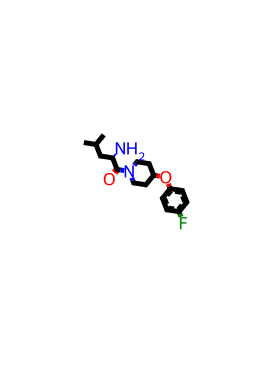 CC(C)C[C@H](N)C(=O)N1CCC(Oc2ccc(F)cc2)CC1